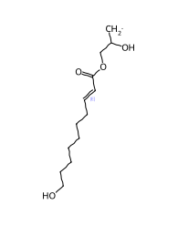 [CH2]C(O)COC(=O)/C=C/CCCCCCCO